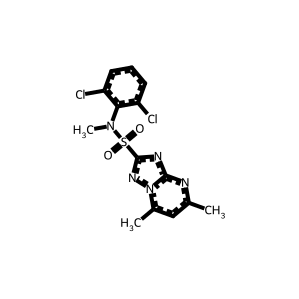 Cc1cc(C)n2nc(S(=O)(=O)N(C)c3c(Cl)cccc3Cl)nc2n1